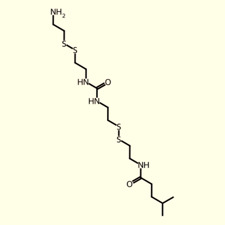 CC(C)CCC(=O)NCCSSCCNC(=O)NCCSSCCN